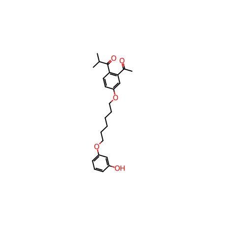 CC(=O)c1cc(OCCCCCCOc2cccc(O)c2)ccc1C(=O)C(C)C